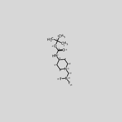 CC(C)(C)OC(=O)NC1CCN(CB(F)F)CC1